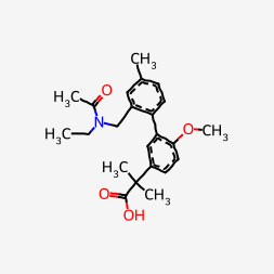 CCN(Cc1cc(C)ccc1-c1cc(C(C)(C)C(=O)O)ccc1OC)C(C)=O